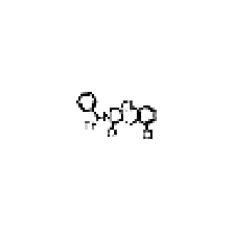 CC[C@@H](c1ccccc1)N1CC[C@H](Cc2c(Cl)cccc2Cl)C1=O